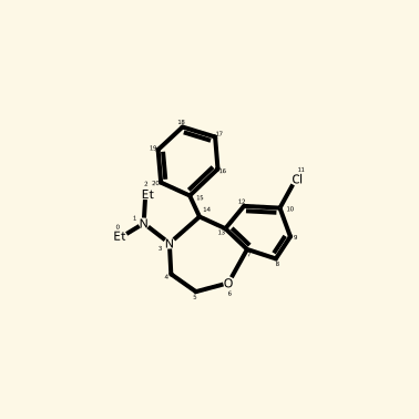 CCN(CC)N1CCOc2ccc(Cl)cc2C1c1ccccc1